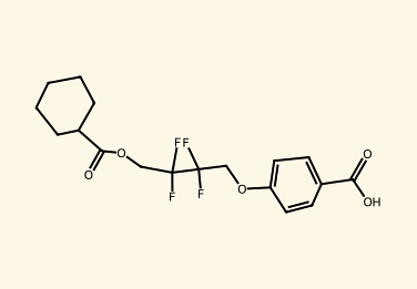 O=C(O)c1ccc(OCC(F)(F)C(F)(F)COC(=O)C2CCCCC2)cc1